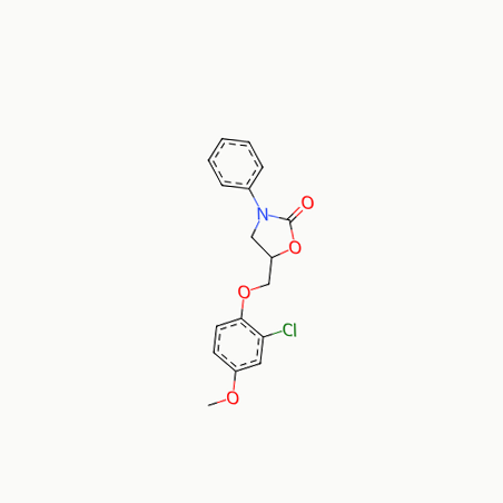 COc1ccc(OCC2CN(c3ccccc3)C(=O)O2)c(Cl)c1